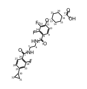 O=C(NCCNC(=O)c1ccc(O[C@H]2CC[C@@H](C(=O)O)CC2)c(F)c1F)c1ccc(C2CC2)cc1F